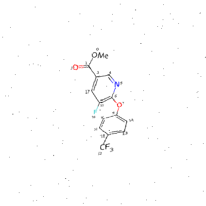 COC(=O)c1cnc(Oc2ccc(C(F)(F)F)cc2)c(F)c1